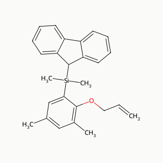 C=CCOc1c(C)cc(C)cc1[Si](C)(C)C1c2ccccc2-c2ccccc21